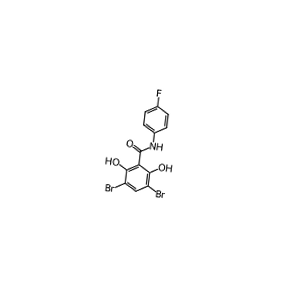 O=C(Nc1ccc(F)cc1)c1c(O)c(Br)cc(Br)c1O